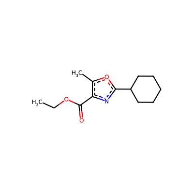 CCOC(=O)c1nc(C2CCCCC2)oc1C